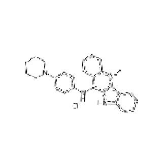 C[n+]1c2ccccc2c(Nc2ccc(N3CCCCC3)cc2)c2[nH]c3ccccc3c21.[Cl-]